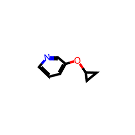 [c]1cncc(OC2CC2)c1